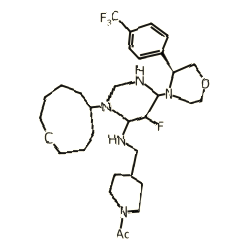 CC(=O)N1CCC(CNC2C(F)C(N3CCOC[C@@H]3c3ccc(C(F)(F)F)cc3)NCN2C2CCCCCCCC2)CC1